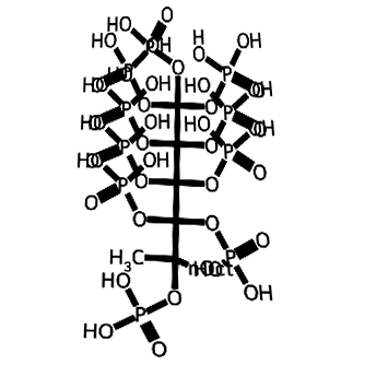 CCCCCCCCC(C)(OP(=O)(O)O)C(OP(=O)(O)O)(OP(=O)(O)O)C(OP(=O)(O)O)(OP(=O)(O)O)C(OP(=O)(O)O)(OP(=O)(O)O)C(OP(=O)(O)O)(OP(=O)(O)O)OP(=O)(O)O